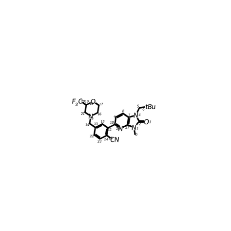 Cn1c(=O)n(CC(C)(C)C)c2ccc(-c3cc(CN4CCOC(C(F)(F)F)C4)ccc3C#N)nc21